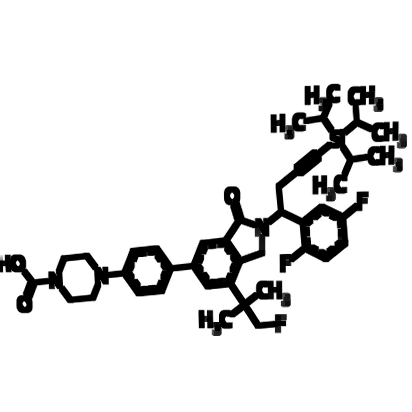 CC(C)[Si](C#CCC(c1cc(F)ccc1F)N1Cc2c(cc(-c3ccc(N4CCN(C(=O)O)CC4)cc3)cc2C(C)(C)CF)C1=O)(C(C)C)C(C)C